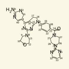 Nc1ncc(-c2nc(N3CCOCC3)nc3c2CCN3c2ccc(C(=O)N3CCN(c4ncccn4)CC3)cc2)cn1